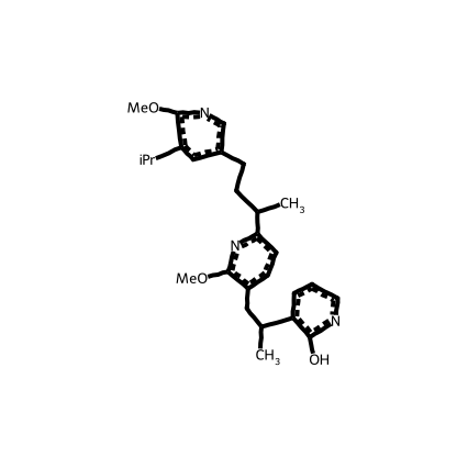 COc1nc(C(C)CCc2cnc(OC)c(C(C)C)c2)ccc1CC(C)c1cccnc1O